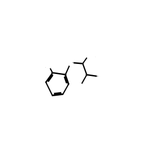 CC(C(Oc1ccccc1C(F)(F)F)C(F)(F)F)C(F)(F)F